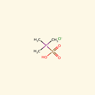 C[P+](C)(C)S(=O)(=O)O.[Cl-]